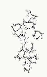 c1ccc(-c2nc(-c3ccccc3)nc(-c3cccc4sc5cc(-c6cccc7c6oc6cccc(-n8c9ccccc9c9ccccc98)c67)ccc5c34)n2)cc1